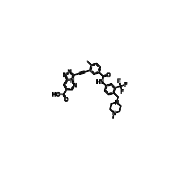 Cc1ccc(C(=O)Nc2ccc(CN3CCN(C)CC3)c(C(F)(F)F)c2)cc1C#Cc1nnc2cc(C(=O)O)cnn12